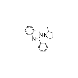 CC1CCCN1N1Cc2ccccc2N=C1c1ccccc1